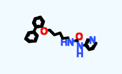 O=C(NCCCCCOc1ccccc1-c1ccccc1)Nc1cccnc1